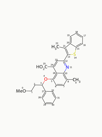 COCCC(Oc1ccc(C)c2nc(-c3sc4ccccc4c3C)cc(C(=O)O)c12)c1ccccc1